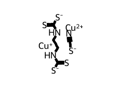 N#C[S-].S=C([S-])NCCNC(=S)[S-].[Cu+2].[Cu+]